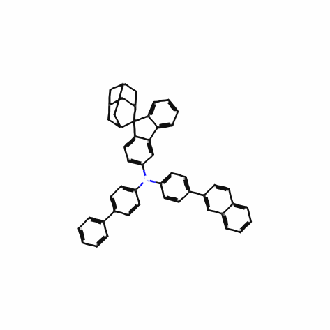 c1ccc(-c2ccc(N(c3ccc(-c4ccc5ccccc5c4)cc3)c3ccc4c(c3)-c3ccccc3C43C4CC5CC(C4)CC3C5)cc2)cc1